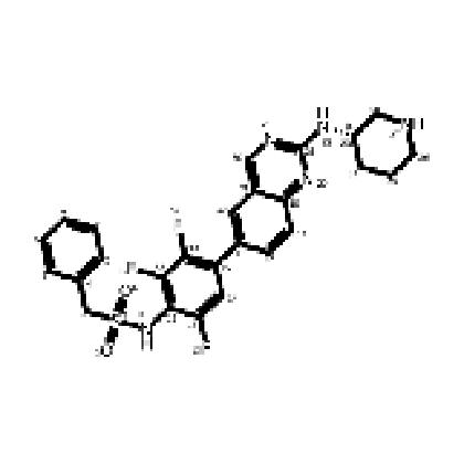 O=S(=O)(Cc1ccccc1)Nc1c(F)cc(-c2ccc3nc(N[C@H]4CCCNC4)ncc3c2)c(F)c1F